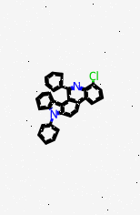 Clc1cccc2c1nc(-c1ccccc1)c1c2ccc2c1c1ccccc1n2-c1ccccc1